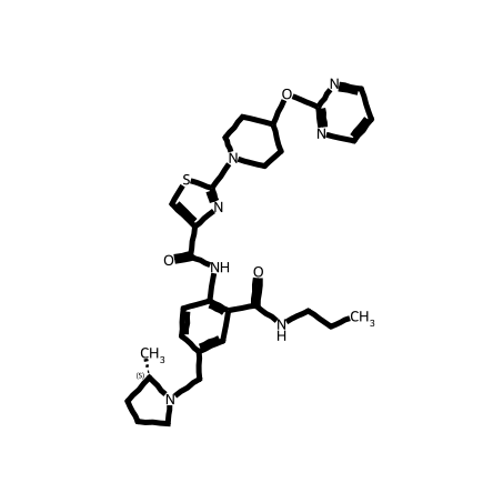 CCCNC(=O)c1cc(CN2CCC[C@@H]2C)ccc1NC(=O)c1csc(N2CCC(Oc3ncccn3)CC2)n1